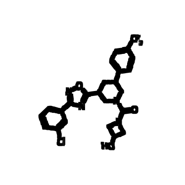 O=C(N1CC(O)C1)N1CC(c2ccc(C(F)(F)F)cc2)CC(c2nc(-c3cccc(Cl)c3)no2)C1